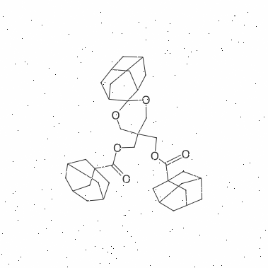 O=C(OCC1(COC(=O)C23CC4CC(CC(C4)C2)C3)COC2(OC1)C1CC3CC(C1)CC2C3)C12CC3CC(CC(C3)C1)C2